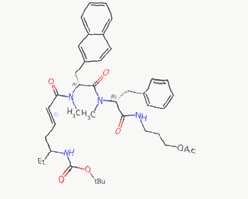 CCC(C/C=C/C(=O)N(C)[C@H](Cc1ccc2ccccc2c1)C(=O)N(C)[C@H](Cc1ccccc1)C(=O)NCCCOC(C)=O)NC(=O)OC(C)(C)C